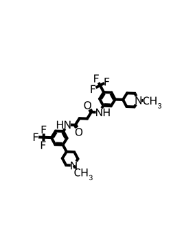 CN1CCC(c2cc(NC(=O)CCC(=O)Nc3cc(C4CCN(C)CC4)cc(C(F)(F)F)c3)cc(C(F)(F)F)c2)CC1